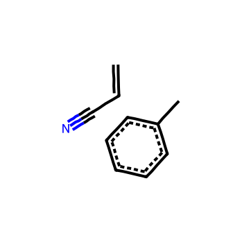 C=CC#N.Cc1ccccc1